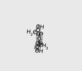 Cc1cc(O)ccc1OC(=O)c1ccc(C(=O)Oc2ccc(O)cc2C)cc1